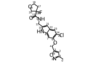 Cc1cc(COc2cc3[nH]c(CNC(=O)C4(F)CCOC4)cc3cc2Cl)on1